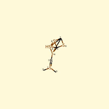 CS(C)=BS12C34SC15S3=[SH]452